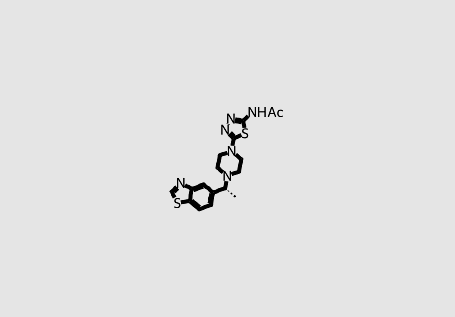 CC(=O)Nc1nnc(N2CCN([C@H](C)c3ccc4scnc4c3)CC2)s1